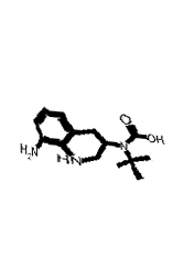 CC(C)(C)N(C(=O)O)C1CNc2c(N)cccc2C1